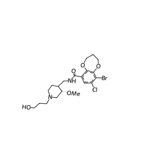 CO[C@@H]1CN(CCCO)CCC1CNC(=O)c1cc(Cl)c(Br)c2c1OCCCO2